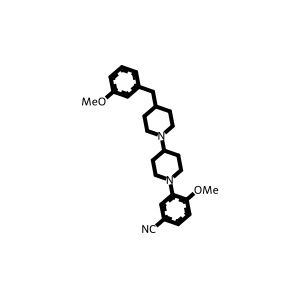 COc1cccc(CC2CCN(C3CCN(c4cc(C#N)ccc4OC)CC3)CC2)c1